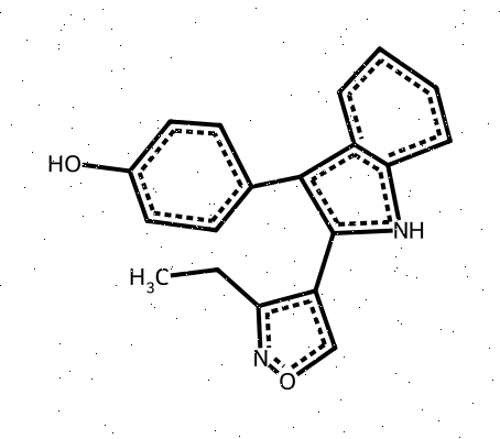 CCc1nocc1-c1[nH]c2ccccc2c1-c1ccc(O)cc1